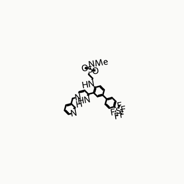 CNS(=O)(=O)CCNc1ccc(-c2ccc(S(F)(F)(F)(F)F)cc2)cc1C(=N)/C=C\NCc1cccnc1